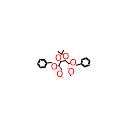 COC[C@@H](OCc1ccccc1)[C@H]1OC(C)(C)O[C@@H]1[C@@H](COC)OCc1ccccc1